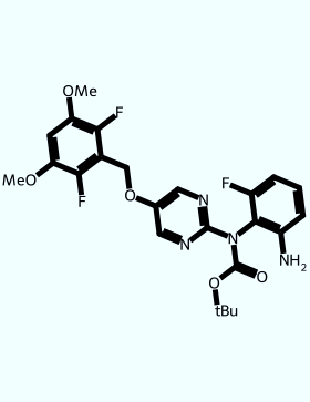 COc1cc(OC)c(F)c(COc2cnc(N(C(=O)OC(C)(C)C)c3c(N)cccc3F)nc2)c1F